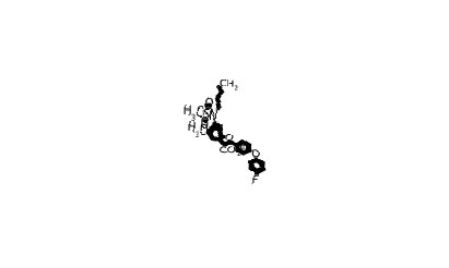 C=CCCCN(c1cc2oc(-c3ccc(Oc4ccc(F)cc4)cc3)c(C(=O)OCC)c2cc1C)S(C)(=O)=O